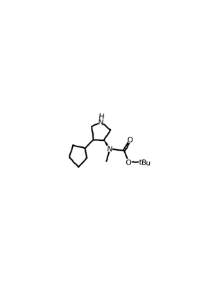 CN(C(=O)OC(C)(C)C)[C@@H]1CNCC1C1CCCC1